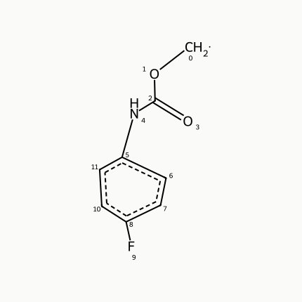 [CH2]OC(=O)Nc1ccc(F)cc1